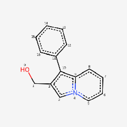 OCc1cn2ccccc2c1-c1ccccc1